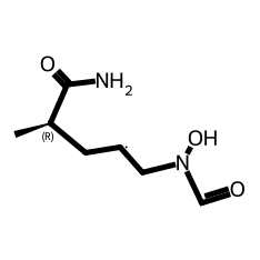 C[C@H](C[CH]CN(O)C=O)C(N)=O